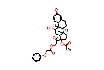 CCCC(=O)O[C@]1(C(=O)COC(=O)COc2ccccc2)CC[C@H]2[C@@H]3CCC4=CC(=O)C=C[C@]4(C)[C@H]3C(O)C[C@@]21C